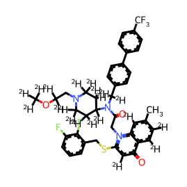 [2H]c1c(C)c([2H])c2c(c1[2H])c(=O)c([2H])c(SCc1cccc(F)c1F)n2CC(=O)N(C([2H])([2H])c1ccc(-c2ccc(C(F)(F)F)cc2)cc1)C1([2H])C([2H])([2H])C([2H])([2H])N(CC([2H])([2H])OC([2H])([2H])[2H])C([2H])([2H])C1([2H])[2H]